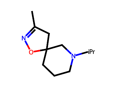 CC1=NOC2(CCCN(C(C)C)C2)C1